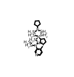 Cc1ccncc1N([SiH2][SiH3])[SiH2][SiH2][N+]1(C2CCCC2)[SiH2][SiH2]N(C2CCCC2)[SiH2][SiH2]1